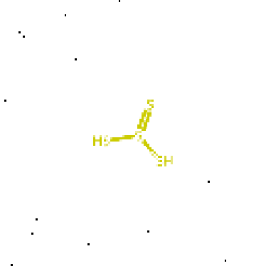 S=S(S)S